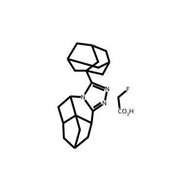 C1C2CC3CC1CC(C2)n1c3nnc1C12CC3CC(CC(C3)C1)C2.O=C(O)CF